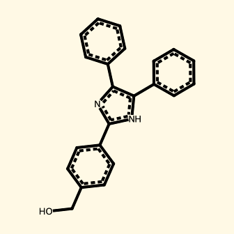 OCc1ccc(-c2nc(-c3ccccc3)c(-c3ccccc3)[nH]2)cc1